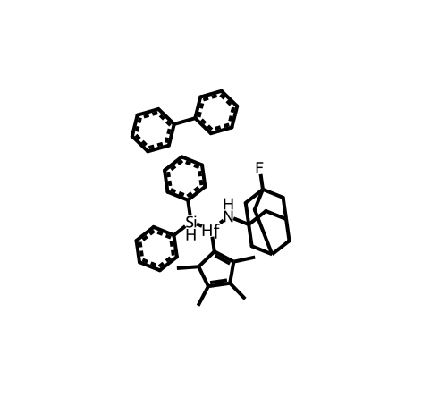 CC1=C(C)C(C)[C]([Hf]([NH]C23CC4CC(CC(F)(C4)C2)C3)[SiH](c2ccccc2)c2ccccc2)=C1C.c1ccc(-c2ccccc2)cc1